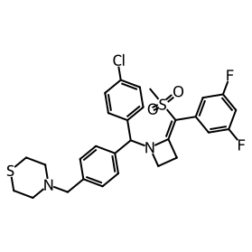 CS(=O)(=O)C(=C1CCN1C(c1ccc(Cl)cc1)c1ccc(CN2CCSCC2)cc1)c1cc(F)cc(F)c1